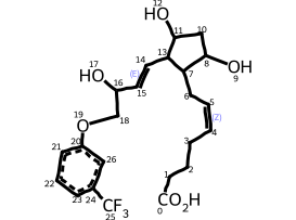 O=C(O)CCC/C=C\CC1C(O)CC(O)C1/C=C/C(O)COc1cccc(C(F)(F)F)c1